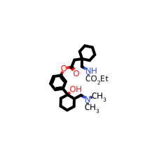 CCOC(=O)NCC1(CC(=O)Oc2cccc(C3(O)CCCCC3CN(C)C)c2)CCCCC1